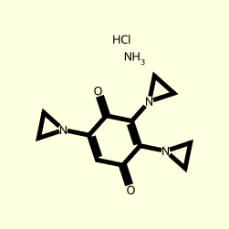 Cl.N.O=C1C=C(N2CC2)C(=O)C(N2CC2)=C1N1CC1